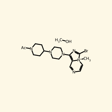 CC(=O)N1CCC(N2CCN(C3=C4C=NC=C[N+]4(C)C(Br)=N3)CC2)CC1.CO